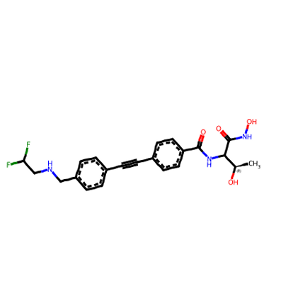 C[C@@H](O)C(NC(=O)c1ccc(C#Cc2ccc(CNCC(F)F)cc2)cc1)C(=O)NO